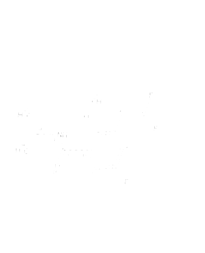 COc1c(CC(F)F)cc(F)cc1C(=O)NC(C)C